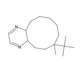 CC(C)(C)C1(C)CCCCCC2N=CC=NC2CC1